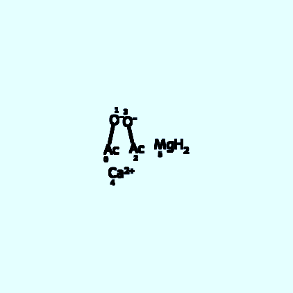 CC(=O)[O-].CC(=O)[O-].[Ca+2].[MgH2]